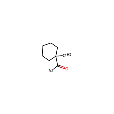 CCC(=O)C1(C=O)CCCCC1